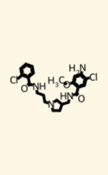 COc1cc(N)c(Cl)cc1C(=O)NCC1CCN(CCCNC(=O)c2ccccc2Cl)C1